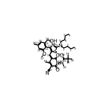 CCCCN(CCCC)c1nc(-c2c(CO)cc(C)cc2OC)c(/C=C2\C(=O)N(N(C)C(=O)C(C)(C)C)C(=O)C(C#N)=C2C)s1